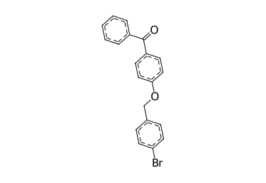 O=C(c1ccccc1)c1ccc(OCc2ccc(Br)cc2)cc1